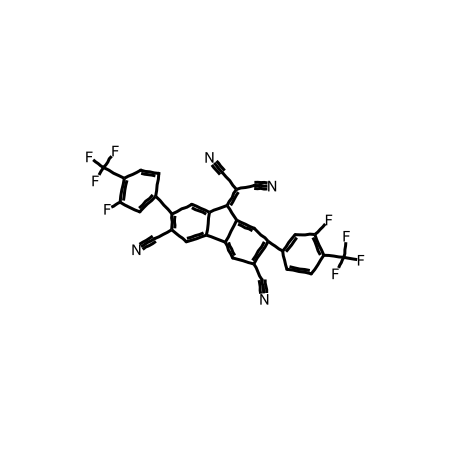 N#CC(C#N)=C1c2cc(-c3ccc(C(F)(F)F)c(F)c3)c(C#N)cc2-c2cc(C#N)c(-c3ccc(C(F)(F)F)c(F)c3)cc21